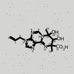 C=CCn1cnc2c1N=CN1C2=NC(C)(C(=O)O)C(O)C1(C)O